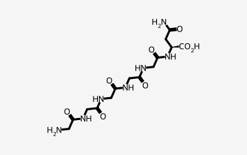 NCC(=O)NCC(=O)NCC(=O)NCC(=O)NCC(=O)N[C@@H](CC(N)=O)C(=O)O